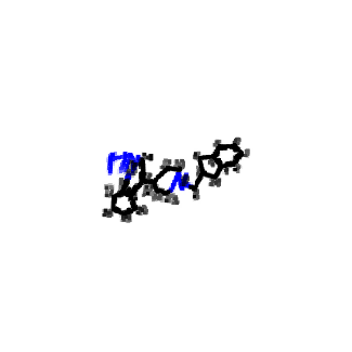 c1ccc2c(c1)CC(CN1CCC(c3c[nH]c4ccccc34)CC1)C2